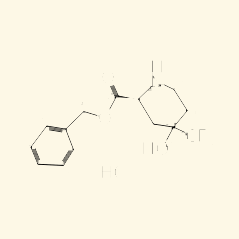 Cl.O=C(OCc1ccccc1)[C@@H]1CC(O)(C(F)(F)F)CCN1